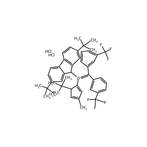 CC1=CC(C(C)(C)C)[C]([Zr](=[C](c2cccc(C(F)(F)F)c2)c2cccc(C(F)(F)F)c2)[CH]2c3cc(C(C)(C)C)ccc3-c3ccc(C(C)(C)C)cc32)=C1.Cl.Cl